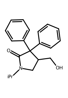 CC(C)N1CC(CO)C(c2ccccc2)(c2ccccc2)C1=O